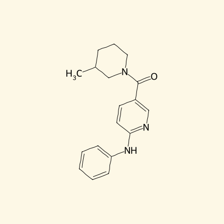 CC1CCCN(C(=O)c2ccc(Nc3ccccc3)nc2)C1